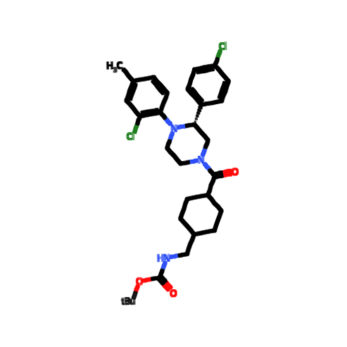 Cc1ccc(N2CCN(C(=O)C3CCC(CNC(=O)OC(C)(C)C)CC3)C[C@H]2c2ccc(Cl)cc2)c(Cl)c1